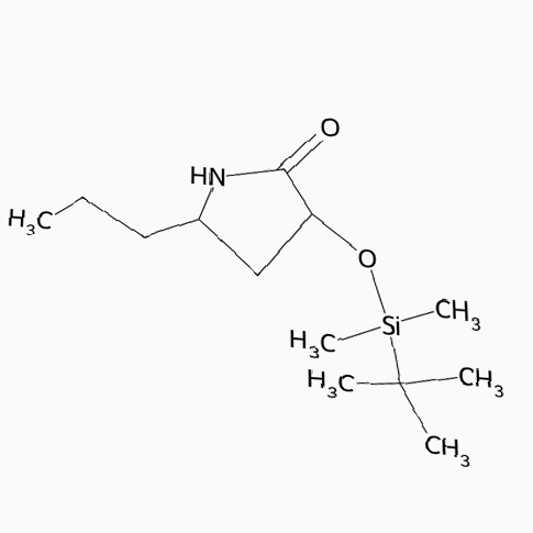 CCCC1CC(O[Si](C)(C)C(C)(C)C)C(=O)N1